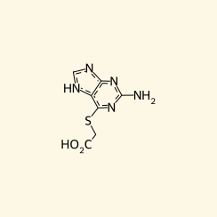 Nc1nc(SCC(=O)O)c2[nH]cnc2n1